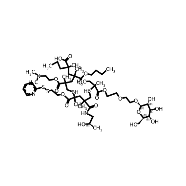 CCCCOC(=O)C(C)(CC(C)(CCC)C(=O)O)CC(C)(CBC(C)(CC(C)(CBC(C)(CC)C(=O)OCCOCCO[C@@H]1O[C@H](CO)[C@H](O)[C@H](O)[C@H]1O)C(=O)NC[C@@H](C)O)C(=O)OCCSSc1ccccn1)C(=O)OCCN(C)C